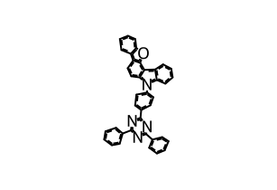 c1ccc(-c2nc(-c3ccccc3)nc(-c3ccc(-n4c5ccccc5c5c6oc7ccccc7c6ccc54)cc3)n2)cc1